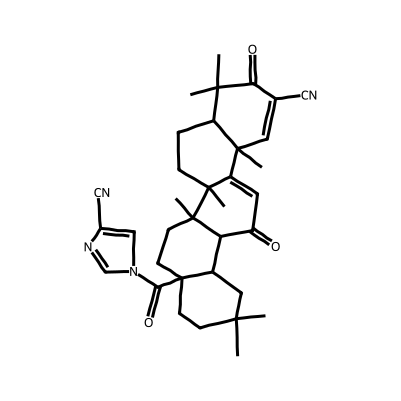 CC1(C)CCC2(C(=O)n3cnc(C#N)c3)CCC3(C)C(C(=O)C=C4C5(C)C=C(C#N)C(=O)C(C)(C)C5CCC43C)C2C1